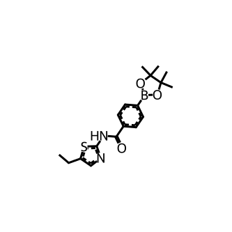 CCc1cnc(NC(=O)c2ccc(B3OC(C)(C)C(C)(C)O3)cc2)s1